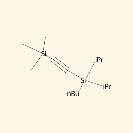 CCCC[Si](C#C[Si](C)(C)C)(C(C)C)C(C)C